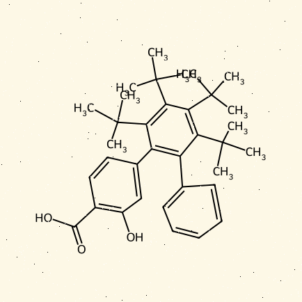 CC(C)(C)c1c(-c2ccccc2)c(-c2ccc(C(=O)O)c(O)c2)c(C(C)(C)C)c(C(C)(C)C)c1C(C)(C)C